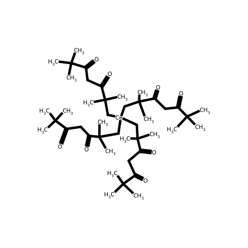 CC(C)(C)C(=O)CC(=O)C(C)(C)[CH2][Ce]([CH2]C(C)(C)C(=O)CC(=O)C(C)(C)C)([CH2]C(C)(C)C(=O)CC(=O)C(C)(C)C)[CH2]C(C)(C)C(=O)CC(=O)C(C)(C)C